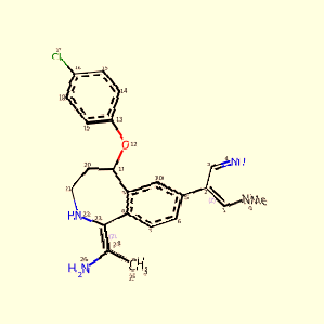 CN/C=C(\C=N)c1ccc2c(c1)C(Oc1ccc(Cl)cc1)CCN/C2=C(/C)N